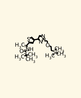 C[C@@H](N[S+]([O-])C(C)(C)C)c1cc(-c2cnn(COCC[Si](C)(C)C)n2)cs1